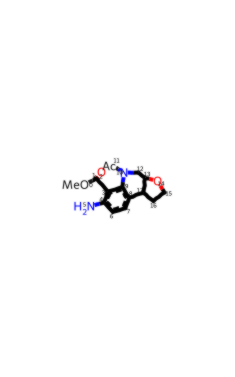 COC(=O)c1c(N)ccc2c1N(C(C)=O)CC1OCCC21